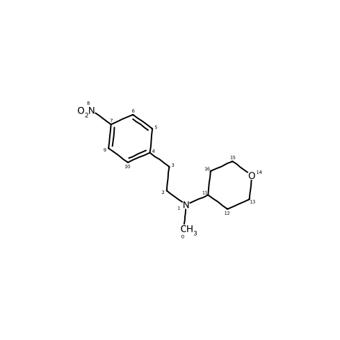 CN(CCc1ccc([N+](=O)[O-])cc1)C1CCOCC1